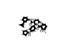 Cc1cccc(F)c1C(=O)N1CCC[C@H](C(=O)Nc2cccc(C3CC3)c2)[C@@H]1c1ccc(NC2CCCC2)cc1